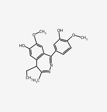 CCC1C(C)=NN=C(c2ccc(OC)c(O)c2)c2cc(OC)c(O)cc21